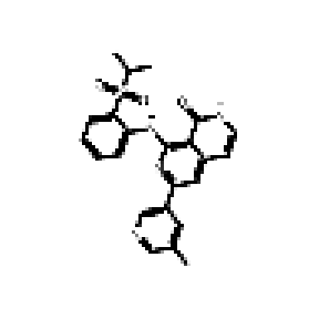 Cc1cncc(-c2cc3cc[nH]c(=O)c3c(Nc3ccccc3S(=O)(=O)C(C)C)n2)c1